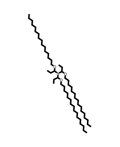 CCCCCCCCCCCCCCCCOC(CC)N(C(CC)OCCCCCCCCCCCCCCCC)C(CC)OCCCCCCCCCCCCCCCC